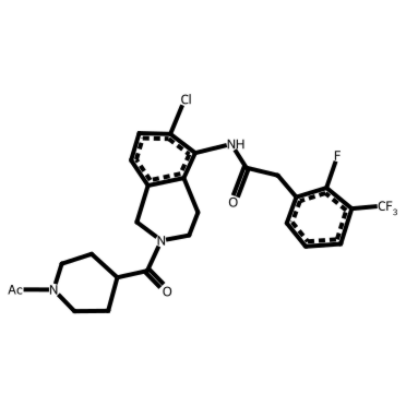 CC(=O)N1CCC(C(=O)N2CCc3c(ccc(Cl)c3NC(=O)Cc3cccc(C(F)(F)F)c3F)C2)CC1